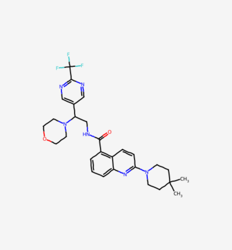 CC1(C)CCN(c2ccc3c(C(=O)NCC(c4cnc(C(F)(F)F)nc4)N4CCOCC4)cccc3n2)CC1